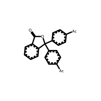 CC(=O)c1ccc(C2(c3ccc(C(C)=O)cc3)OC(=O)c3ccccc32)cc1